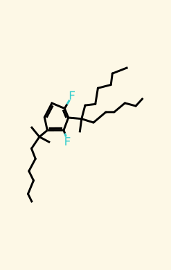 CCCCCCC(C)(C)c1ccc(F)c(C(C)(CCCCCC)CCCCCC)c1F